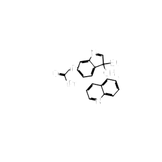 CC(C)C(=O)C(C)C.CCC1(C)C=Nc2ccccc21.c1ccc2ncccc2c1